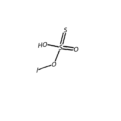 O=S(O)(=S)OI